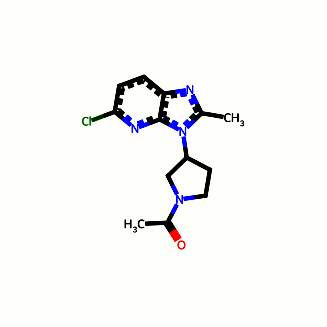 CC(=O)N1CCC(n2c(C)nc3ccc(Cl)nc32)C1